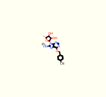 CC(C)Nc1nc2c(OCc3ccc(C#N)cc3)ncnc2n1[C@@H]1O[C@H](C)[C@@H](O)[C@H]1O